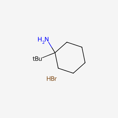 Br.CC(C)(C)C1(N)CCCCC1